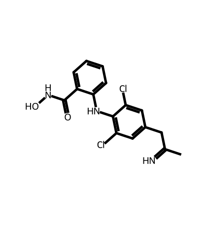 CC(=N)Cc1cc(Cl)c(Nc2ccccc2C(=O)NO)c(Cl)c1